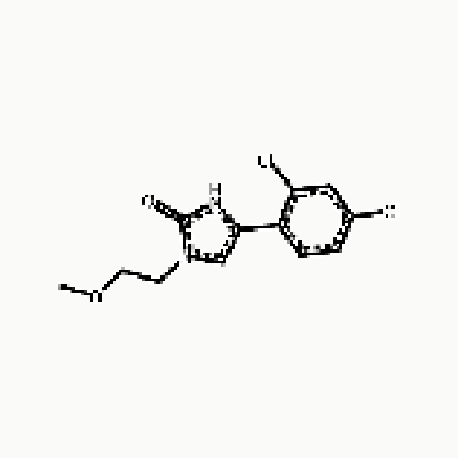 COCCn1cc(-c2ccc(Cl)cc2Cl)[nH]c1=O